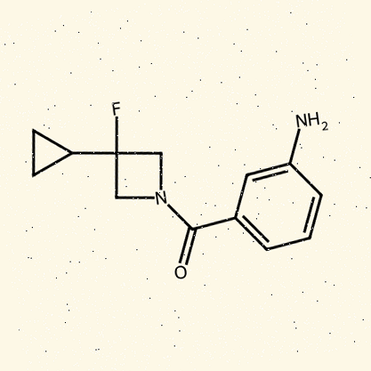 Nc1cccc(C(=O)N2CC(F)(C3CC3)C2)c1